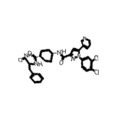 NC(=O)C(Cc1ccccc1)NC(=O)[C@H]1CC[C@@H](NC(=O)c2cc(-c3cccnc3)n(-c3ccc(Cl)c(Cl)c3)n2)CC1